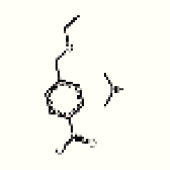 CCOCc1ccc([N+](=O)[O-])cc1.CNC